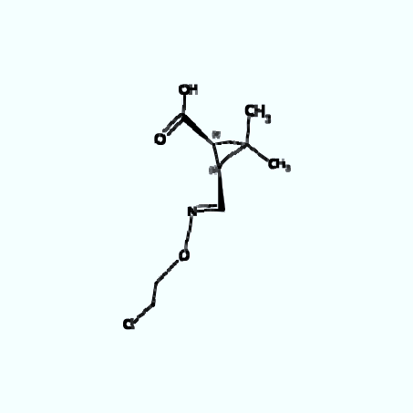 CC1(C)[C@H](C(=O)O)[C@@H]1C=NOCCCl